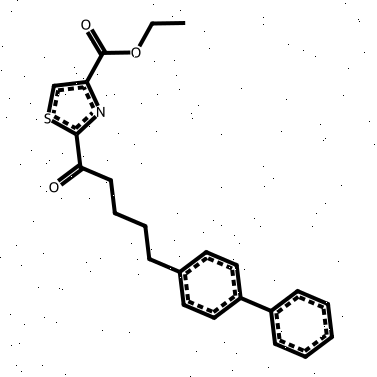 CCOC(=O)c1csc(C(=O)CCCCc2ccc(-c3ccccc3)cc2)n1